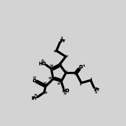 CC(C)CCC(=O)C1C(CCC(C)C)=C(O)C(C(=O)CC(C)C)=C1N=O